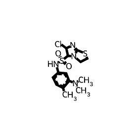 Cc1ccc(NS(=O)(=O)C2C(Cl)N=C3SCCN32)cc1N(C)C